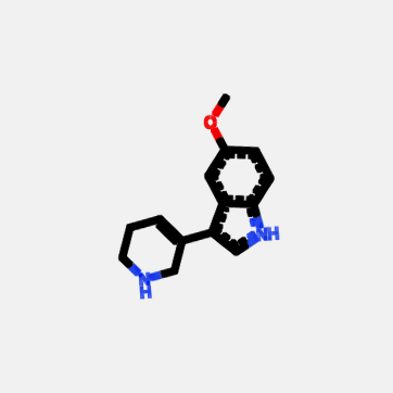 COc1ccc2[nH]cc(C3=CCCNC3)c2c1